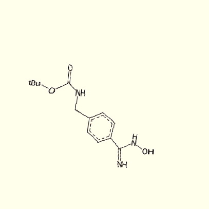 CC(C)(C)OC(=O)NCc1ccc(C(=N)NO)cc1